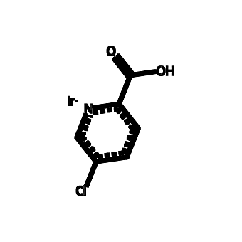 O=C(O)c1ccc(Cl)cn1.[Ir]